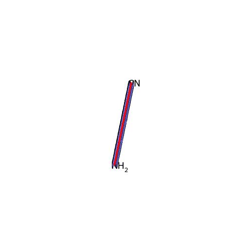 N#C/N=N/N=N/N=N/N=N/N=N/N=N/N=N/N=N/N=N/N=N/N=N/N=N/N=N/N=N/N=N/N=N/N=N/N=N/N=N/N=N/N=N/N=N/N=N/N=N/N=N/N=N/N=N/N=N/N=N/N=N/N=N/N=N/N=N/N=N/N=N/N=N/N=N/N=N/N=N/N=N/N=N/N=N/N=N/N=N/N=N/N=N/N=N/N=N/N=N/N=N/N=N/N=N/N=N/N=N/N=N/N=N/N=N/N=N/N=N/N=N/N=N/N=N/N=N/N=N/N=N/N=N/N=N/N=N/N=N/N=N/N